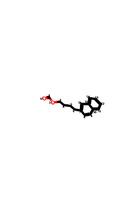 O=COCCCCc1ccc2ccccc2c1